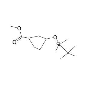 COC(=O)C1CCC(O[Si](C)(C)C(C)(C)C)C1